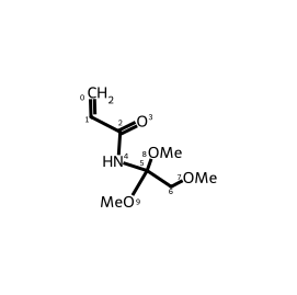 C=CC(=O)NC(COC)(OC)OC